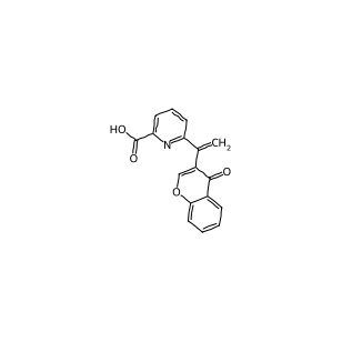 C=C(c1cccc(C(=O)O)n1)c1coc2ccccc2c1=O